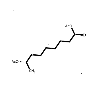 CC[C@@H](CCCCCC[C@H](C)OC(C)=O)OC(C)=O